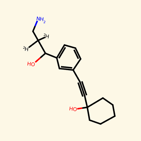 [2H]C([2H])(CN)C(O)c1cccc(C#CC2(O)CCCCC2)c1